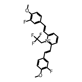 COc1ccc(/C=C/c2cccc(/C=C/c3ccc(OC)c(F)c3)[n+]2CC(F)(F)F)cc1F